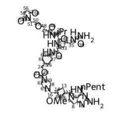 CCCCCNc1nc(N)nc2ccn(Cc3ccc(CN4CCN(C(=O)OCc5ccc(NC(=O)[C@H](CCCNC(N)=O)NC(=O)[C@@H](NC(=O)CCOCCN6C(=O)C=CC6=O)C(C)C)cc5)CC4)cc3OC)c12